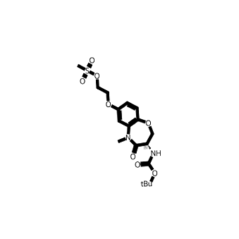 CN1C(=O)[C@@H](NC(=O)OC(C)(C)C)COc2ccc(OCCOS(C)(=O)=O)cc21